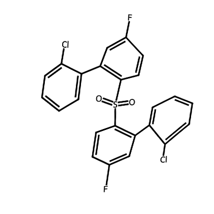 O=S(=O)(c1ccc(F)cc1-c1ccccc1Cl)c1ccc(F)cc1-c1ccccc1Cl